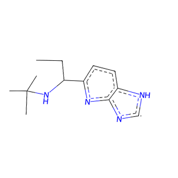 CCC(NC(C)(C)C)c1ccc2[nH][c]nc2n1